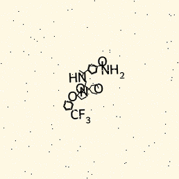 CC(NCC(=O)C1(N2CC[C@@H](Oc3cccc(C(F)(F)F)c3)C2)CCOCC1)c1ccc(C(N)=O)cc1